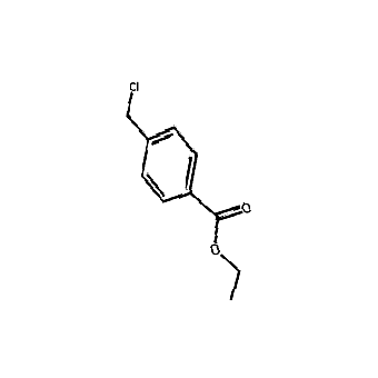 CCOC(=O)c1ccc(CCl)cc1